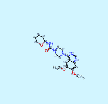 COc1cc2ncnc(N3CCN(C(=O)NC4CCCCO4)CC3)c2cc1OC